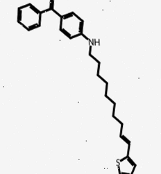 O=C(c1ccccc1)c1ccc(NCCCCCCCC/C=C/c2cccs2)cc1